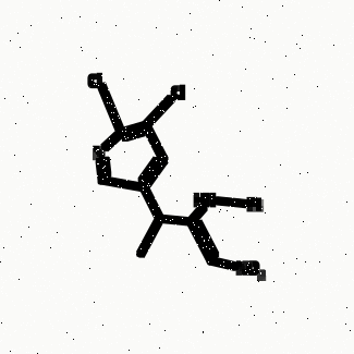 CCNC(=C[N+](=O)[O-])C(C)c1cnc(Cl)c(Cl)c1